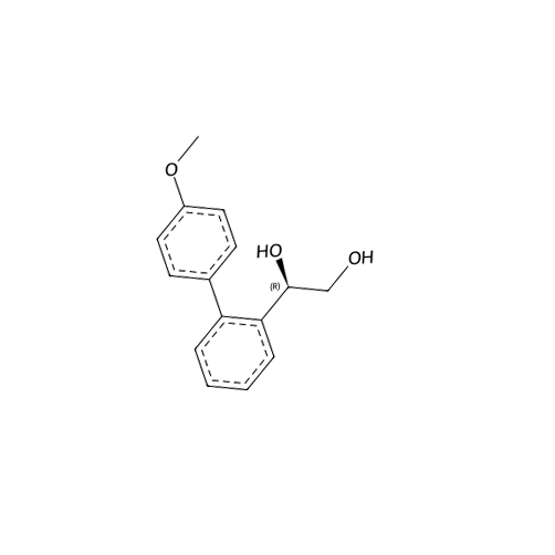 COc1ccc(-c2ccccc2[C@@H](O)CO)cc1